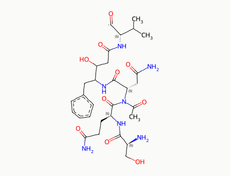 CC(=O)N(C(=O)[C@H](CCC(N)=O)NC(=O)[C@@H](N)CO)[C@@H](CC(N)=O)C(=O)NC(Cc1ccccc1)C(O)CC(=O)N[C@H]([C]=O)C(C)C